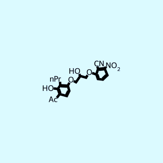 CCCc1c(OCC(O)COc2cccc([N+](=O)[O-])c2C#N)ccc(C(C)=O)c1O